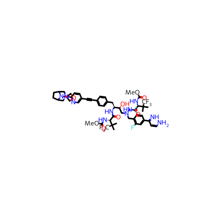 COC(=O)N[C@H](C(=O)N[C@@H](Cc1ccc(C#Cc2ccc(N3CC4CCC(C3)N4C3COC3)nc2)cc1)[C@@H](O)CN(Cc1c(F)cc(C(=N)/C=C\N)cc1F)NC(=O)[C@@H](NC(=O)OC)C(C)(C)C(F)(F)F)C(C)(C)C(F)(F)F